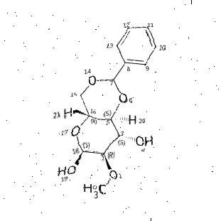 CO[C@@H]1[C@@H](O)[C@@H]2OC(c3ccccc3)OC[C@H]2O[C@@H]1O